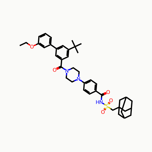 CCOc1cccc(-c2cc(C(=O)N3CCN(c4ccc(C(=O)NS(=O)(=O)CC56CC7CC(CC(C7)C5)C6)cc4)CC3)cc(C(C)(C)C)c2)c1